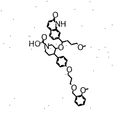 COCCCC(OC1CN(C(=O)O)CCC1c1ccc(OCCCOCc2ccccc2OC)cc1)c1ccc2ccc(=O)[nH]c2c1